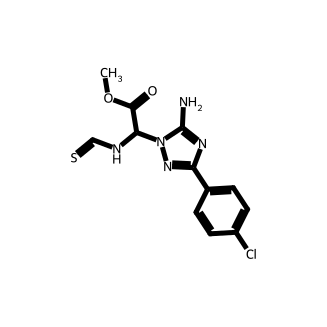 COC(=O)C(NC=S)n1nc(-c2ccc(Cl)cc2)nc1N